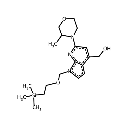 CC1COCCN1c1cc(CO)c2ccn(COCC[Si](C)(C)C)c2n1